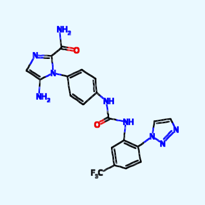 NC(=O)c1ncc(N)n1-c1ccc(NC(=O)Nc2cc(C(F)(F)F)ccc2-n2ccnn2)cc1